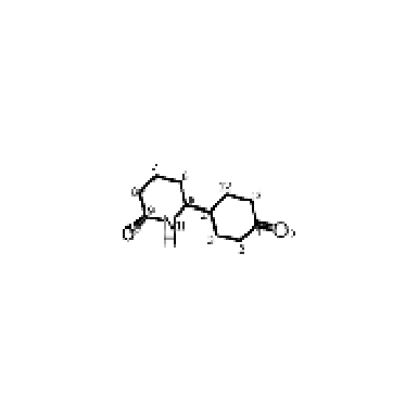 O=C1CCC(C2CCCC(=O)N2)CC1